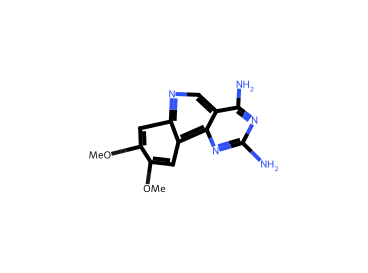 COc1cc2ncc3c(N)nc(N)nc3c2cc1OC